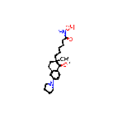 CC1(CCCCCC(=O)NO)CCc2cc(N3CCCC3)ccc2C1=O